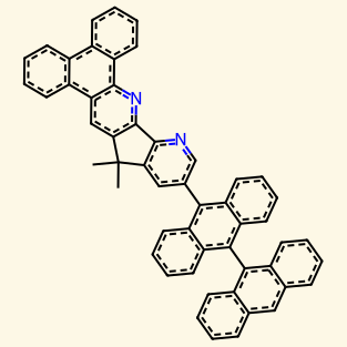 CC1(C)c2cc(-c3c4ccccc4c(-c4c5ccccc5cc5ccccc45)c4ccccc34)cnc2-c2nc3c4ccccc4c4ccccc4c3cc21